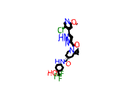 COc1cc(-c2cc(C(=O)N3CC[C@H](C(=O)N[C@H]4CC[C@@](O)(C(F)(F)F)CC4)CC34CC4)n[nH]2)c(Cl)cn1